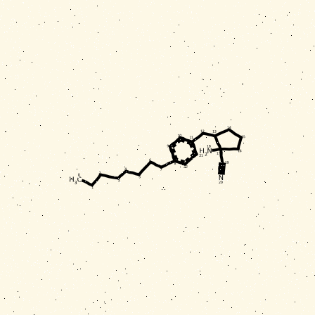 CCCCCCCCc1ccc(CC2CCCC2(N)C#N)cc1